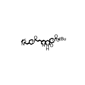 CC(C)(C)OC(=O)N1CCC2(CC1)Cc1cc(/C=C/C(=O)N3CCC(=Cc4nccs4)CC3)cnc1NC2=O